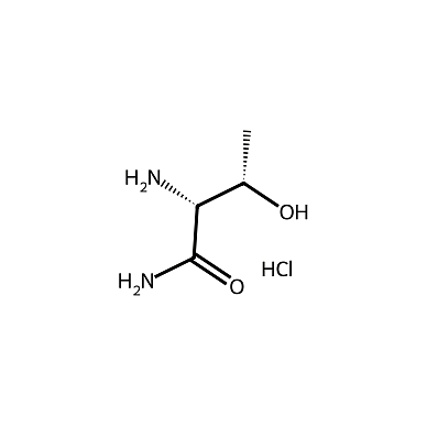 C[C@H](O)[C@@H](N)C(N)=O.Cl